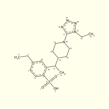 CCc1ccc(S(=O)(=O)O)c(C(C)C2CCN(c3nnnn3CC)CC2)c1